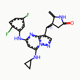 C=C1NC(=O)C/C1=C\c1cnn2c(NC3CC3)cc(Nc3cc(F)ccc3F)nc12